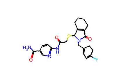 NC(=O)c1ccc(NC(=O)CSC2C3=C(CCCC3)C(=O)N2CC2=CC=C(F)CC2)nc1